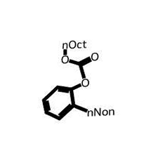 CCCCCCCCCc1ccccc1OC(=O)OCCCCCCCC